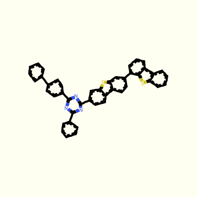 c1ccc(-c2ccc(-c3nc(-c4ccccc4)nc(-c4ccc5c(c4)sc4cc(-c6cccc7c6sc6ccccc67)ccc45)n3)cc2)cc1